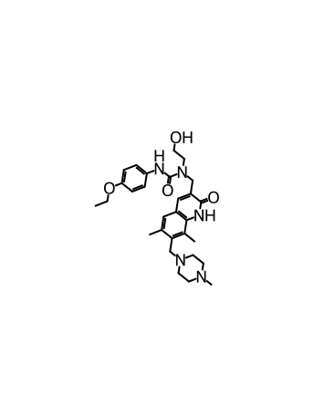 CCOc1ccc(NC(=O)N(CCO)Cc2cc3cc(C)c(CN4CCN(C)CC4)c(C)c3[nH]c2=O)cc1